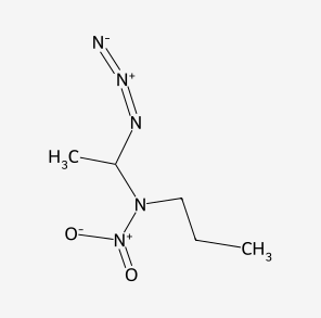 CCCN(C(C)N=[N+]=[N-])[N+](=O)[O-]